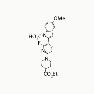 CCOC(=O)C1CCN(c2ccc(-c3cc4cc(OC)ccc4n3C(=O)O)c(F)n2)CC1